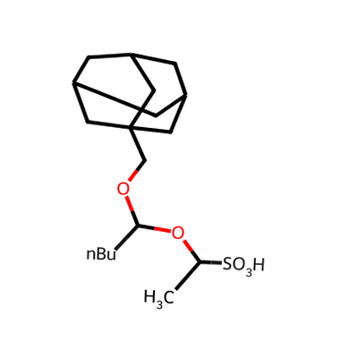 CCCCC(OCC12CC3CC(CC(C3)C1)C2)OC(C)S(=O)(=O)O